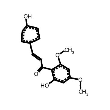 COc1cc(O)c(C(=O)C=Cc2ccc(O)cc2)c(OC)c1